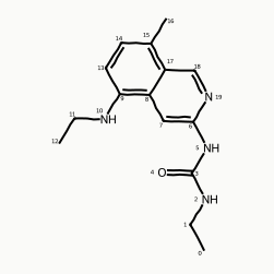 CCNC(=O)Nc1cc2c(NCC)ccc(C)c2cn1